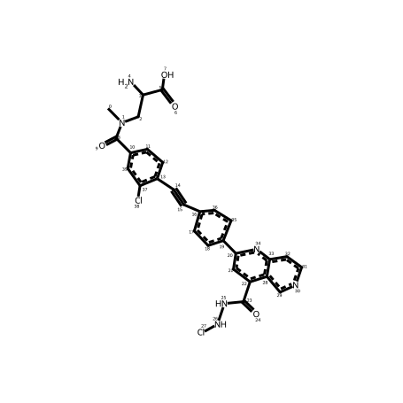 CN(CC(N)C(=O)O)C(=O)c1ccc(C#Cc2ccc(-c3cc(C(=O)NNCl)c4cnccc4n3)cc2)c(Cl)c1